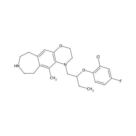 CCC(CN1CCOc2cc3c(c(C)c21)CCNCC3)Oc1ccc(F)cc1Cl